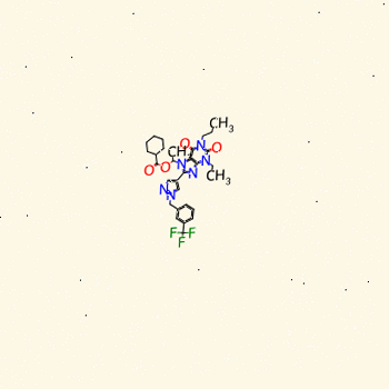 CCCn1c(=O)c2c(nc(-c3cnn(Cc4cccc(C(F)(F)F)c4)c3)n2C(C)OC(=O)C2CCCCC2)n(CC)c1=O